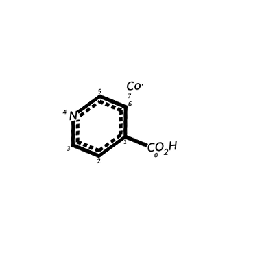 O=C(O)c1ccncc1.[Co]